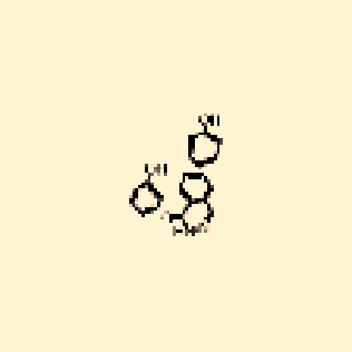 O=c1[nH]ncc2ccccc12.Oc1ccccc1.Oc1ccccc1